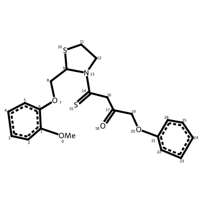 COc1ccccc1OCC1SCCN1C(=S)CC(=O)COc1ccccc1